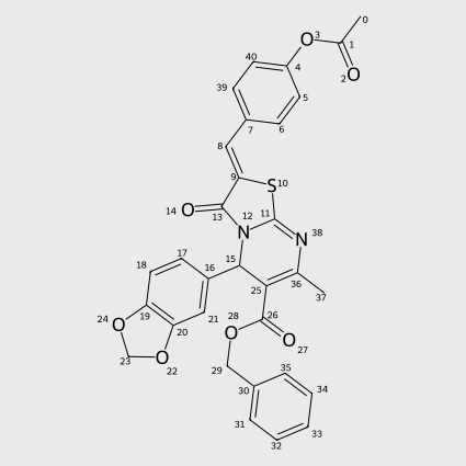 CC(=O)Oc1ccc(C=c2sc3n(c2=O)C(c2ccc4c(c2)OCO4)C(C(=O)OCc2ccccc2)=C(C)N=3)cc1